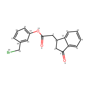 O=C(CC1CC(=O)c2ccccc21)Oc1cccc(CBr)c1